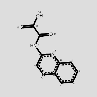 O=C(Nc1cnc2ccccc2n1)C(O)=S